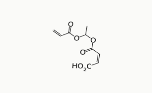 C=CC(=O)OC(C)OC(=O)/C=C\C(=O)O